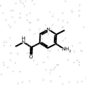 CNC(=O)c1cnc(C)c(N)c1